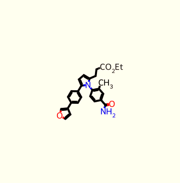 CCOC(=O)CCc1ccc(-c2ccc(-c3ccoc3)cc2)n1-c1ccc(C(N)=O)cc1C